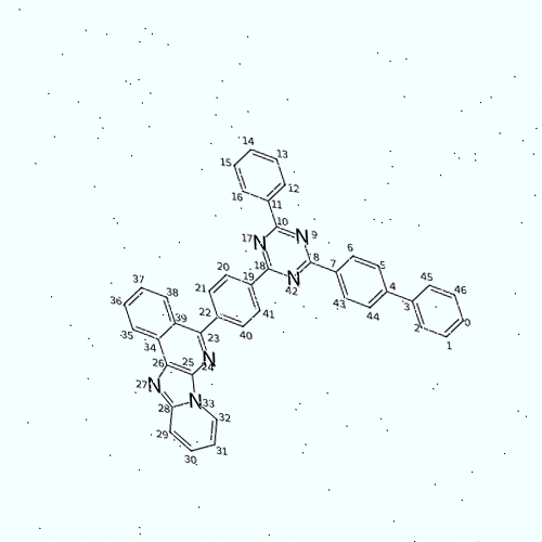 c1ccc(-c2ccc(-c3nc(-c4ccccc4)nc(-c4ccc(-c5nc6c(nc7ccccn76)c6ccccc56)cc4)n3)cc2)cc1